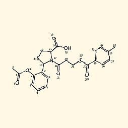 CC(=O)Oc1ccccc1C1SC[C@@H](C(=O)O)N1C(=O)CCSC(=O)c1ccc(C)cc1